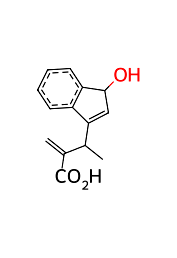 C=C(C(=O)O)C(C)C1=CC(O)c2ccccc21